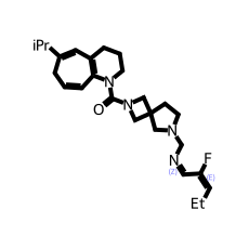 CC/C=C(F)\C=N/CN1CCC2(C1)CN(C(=O)N1CCCC3=C1C=CCC(C(C)C)=C3)C2